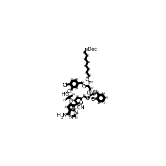 CCCCCCCCCCCCCCCCCCOC[C@H](COP(=O)(OC[C@@H]1C[C@@H](OC(C)(C)O)[C@](C#N)(c2ccc3c(N)ncnn23)O1)Oc1ccccc1Cl)OCc1ccc(Cl)c(Cl)c1